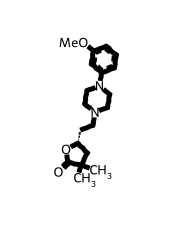 COc1cccc(N2CCN(CC[C@@H]3CC(C)(C)C(=O)O3)CC2)c1